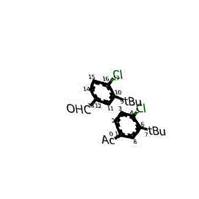 CC(=O)c1ccc(Cl)c(C(C)(C)C)c1.CC(C)(C)c1cc(C=O)ccc1Cl